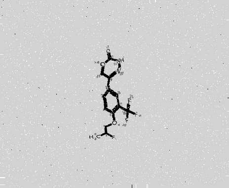 CC(F)COc1ccc(C2=NNC(=O)OC2)cc1C(F)(F)F